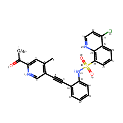 COC(=O)c1cc(C)c(C#Cc2ccccc2NS(=O)(=O)c2cccc3c(Cl)ccnc23)cn1